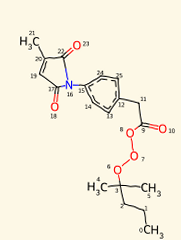 CCCC(C)(C)OOOC(=O)Cc1ccc(N2C(=O)C=C(C)C2=O)cc1